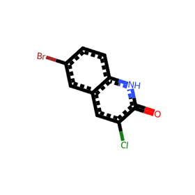 O=c1[nH]c2ccc(Br)cc2cc1Cl